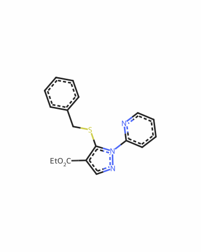 CCOC(=O)c1cnn(-c2ccccn2)c1SCc1ccccc1